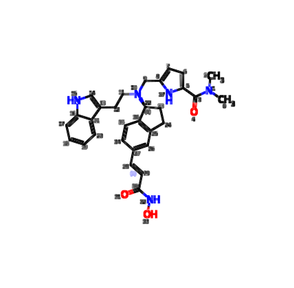 CN(C)C(=O)c1ccc(CN(CCc2c[nH]c3ccccc23)[C@H]2CCc3cc(/C=C/C(=O)NO)ccc32)[nH]1